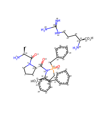 C[C@H](N)C(=O)N1CCC[C@H]1C(=O)N([C@@H](Cc1ccccc1)C(=O)O)P(=O)(Cc1ccccc1)Cc1ccccc1.N=C(N)NCCC[C@H](N)C(=O)O